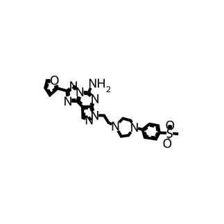 CS(=O)(=O)c1ccc(N2CCN(CCn3ncc4c3nc(N)n3nc(-c5ccco5)nc43)CC2)cc1